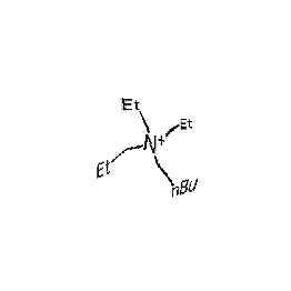 CCCC[N+](CC)(CC)CC